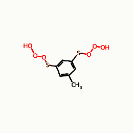 Cc1cc(SOOO)cc(SOOO)c1